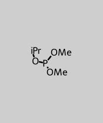 COP(OC)OC(C)C